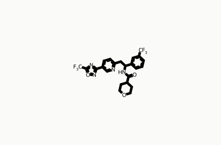 O=C(NC(Cc1ccc(-c2noc(C(F)(F)F)n2)cn1)c1cccc(C(F)(F)F)c1)C1CCOCC1